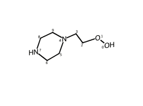 OOCCN1CCNCC1